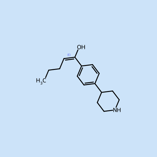 CCC/C=C(/O)c1ccc(C2CCNCC2)cc1